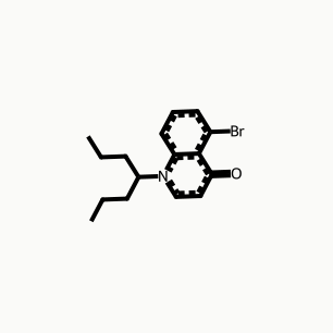 CCCC(CCC)n1ccc(=O)c2c(Br)cccc21